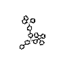 c1ccc(-c2ccc(N(c3ccc(-c4ccc(N(c5ccccc5)c5cccc6ccccc56)cc4)cc3)c3cccc(C4(c5ccccc5)c5ccccc5-c5ccccc54)c3)cc2)cc1